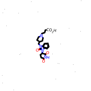 O=C(O)CCCN1CCC(Cn2c(=O)n(C3CCC(=O)NC3=O)c3ccccc32)CC1